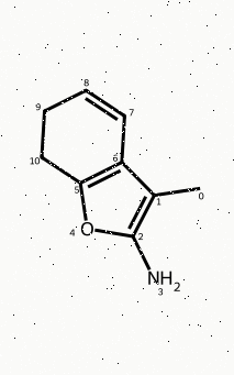 Cc1c(N)oc2c1C=CCC2